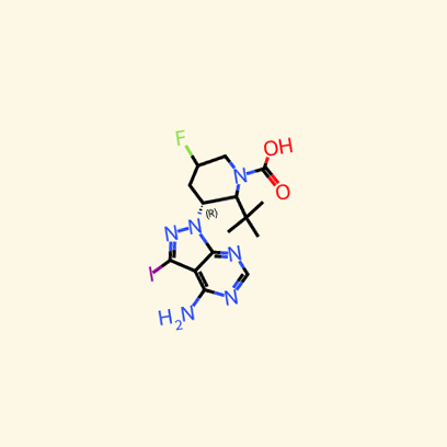 CC(C)(C)C1[C@H](n2nc(I)c3c(N)ncnc32)CC(F)CN1C(=O)O